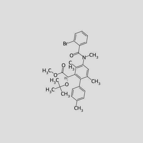 COC(=O)[C@@H](OC(C)(C)C)c1c(C)c(N(C)C(=O)c2ccccc2Br)cc(C)c1-c1ccc(C)cc1